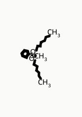 CCCCCCCCO[Si](C)(OCCCCCCCC)c1ccccc1